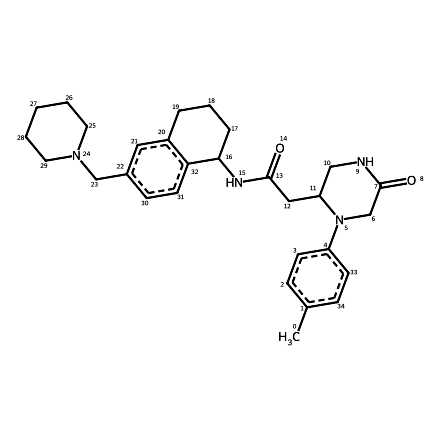 Cc1ccc(N2CC(=O)NCC2CC(=O)NC2CCCc3cc(CN4CCCCC4)ccc32)cc1